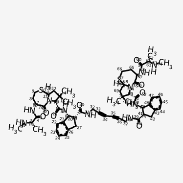 CN[C@@H](C)C(=O)N[C@@H]1CCS[C@H]2CC(C)(C)[C@@H](C(=O)N[C@H]3c4ccccc4C[C@H]3C(=O)NCC#CC#CCNC(=O)[C@@H]3Cc4ccccc4[C@@H]3NC(=O)[C@H]3N4C(=O)[C@H](NC(=O)[C@H](C)NC)CCS[C@H]4CC3(C)C)N2C1=O